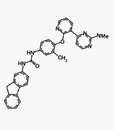 CNc1nccc(-c2cccnc2Oc2ccc(NC(=O)Nc3ccc4c(c3)Cc3ccccc3-4)cc2C)n1